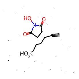 C#CCCCC(=O)O.O=C1CCC(=O)N1O